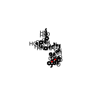 CCCNC(=O)Nc1cccc(S(=O)(=O)Nc2cccc([C@@H](CC(=O)O)NC(=O)Nc3ccc(NC(=O)NCCN(C)CCN(C)CCN(C)CC(=O)NCC(=O)N4CCC[C@H]4C(=O)N[C@H](C(=O)O[C@]4(CC)C(=O)OCc5c4cc4n(c5=O)Cc5c-4nc4ccccc4c5CC)C(C)C)cc3)c2)c1